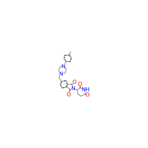 Cc1ccc(N2CCN(Cc3ccc4c(c3)C(=O)N(C3CCC(=O)NC3=O)C4=O)CC2)cc1